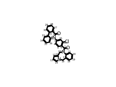 O=C(Nc1ccc(C(=O)N2Cc3cccn3Cc3ccccc32)c(Cl)c1)c1ccccc1-c1ccccc1